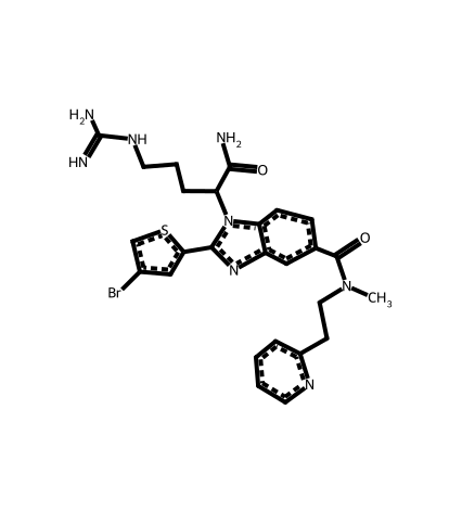 CN(CCc1ccccn1)C(=O)c1ccc2c(c1)nc(-c1cc(Br)cs1)n2C(CCCNC(=N)N)C(N)=O